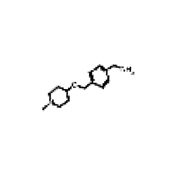 CN1CCC(OCc2ccc(CN)cc2)CC1